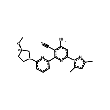 CO[C@@H]1CCN(c2cccc(-c3nc(-n4nc(C)cc4C)cc(N)c3C#N)n2)C1